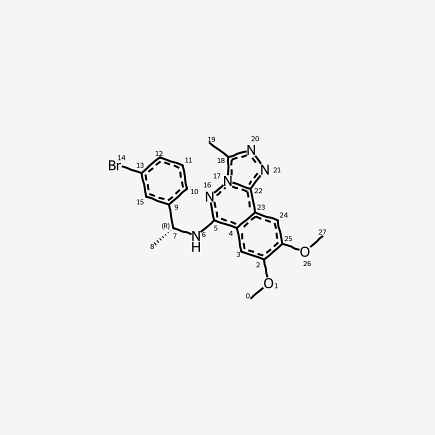 COc1cc2c(N[C@H](C)c3cccc(Br)c3)nn3c(C)nnc3c2cc1OC